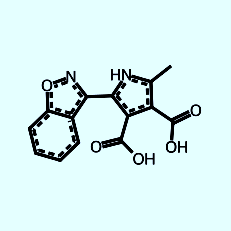 Cc1[nH]c(-c2noc3ccccc23)c(C(=O)O)c1C(=O)O